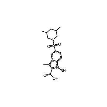 Cc1c(C(=O)O)n(S)c2ccc(S(=O)(=O)N3CC(C)CC(C)C3)cc12